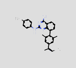 C/C(=C/C#N)c1cc(C)c(-c2cccc3c(N)nc(Nc4ccc(C#N)cc4)nc23)c(C)c1